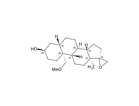 COC[C@]12CC[C@@H](O)C[C@@H]1CC[C@@H]1[C@@H]2CC[C@@]2(C)[C@H]1CC[C@@]21CO1